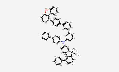 CC1(C)c2cc(N(c3ccc(-c4ccccc4)cc3)c3cccc(-c4cccc(-c5ccc6c(c5)c5cccc7oc8cccc6c8c75)c4)c3)ccc2-c2c(-c3ccccc3)cccc21